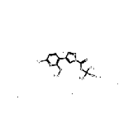 COc1nc(N)ccc1-c1cnn(C(=O)OC(C)(C)C)c1